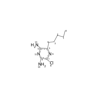 CCCCCc1nc(Cl)c(N)nc1N